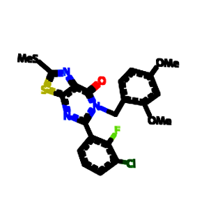 COc1ccc(Cn2c(-c3cccc(Cl)c3F)nc3sc(SC)nc3c2=O)c(OC)c1